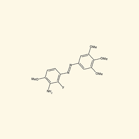 COc1ccc(/N=N/c2cc(OC)c(OC)c(OC)c2)c(F)c1N